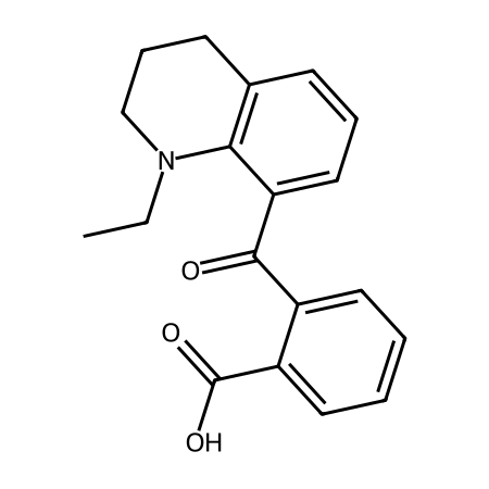 CCN1CCCc2cccc(C(=O)c3ccccc3C(=O)O)c21